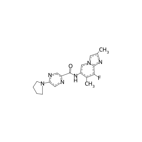 Cc1cn2cc(NC(=O)c3cnc(N4CCCC4)cn3)c(C)c(F)c2n1